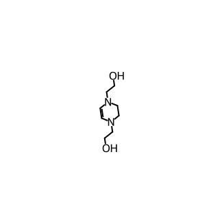 OCCN1C=CN(CCO)CC1